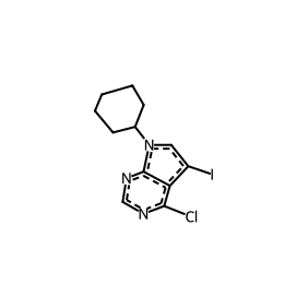 Clc1ncnc2c1c(I)cn2C1CCCCC1